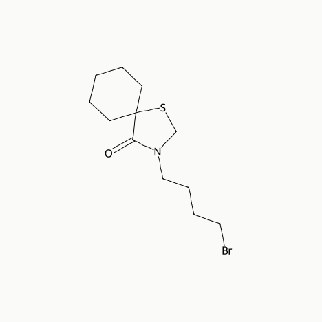 O=C1N(CCCCBr)CSC12CCCCC2